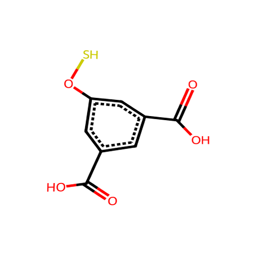 O=C(O)c1cc(OS)cc(C(=O)O)c1